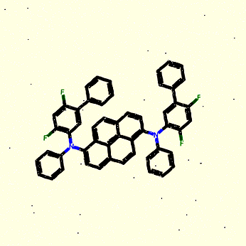 Fc1cc(F)c(N(c2ccccc2)c2ccc3ccc4c(N(c5ccccc5)c5cc(-c6ccccc6)c(F)cc5F)ccc5ccc2c3c54)cc1-c1ccccc1